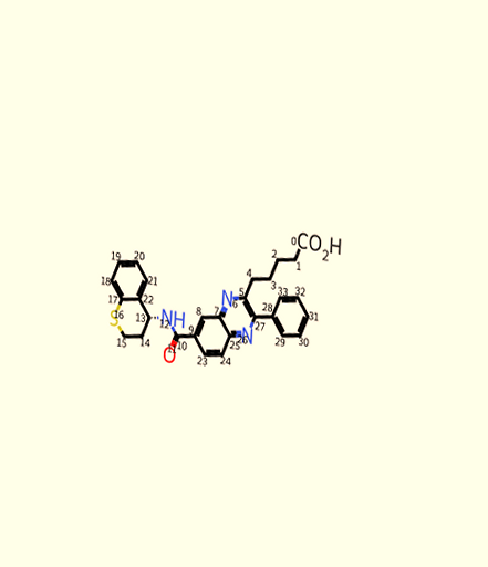 O=C(O)CCCCc1nc2cc(C(=O)N[C@@H]3CCSc4ccccc43)ccc2nc1-c1ccccc1